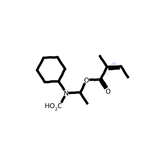 C/C=C(/C)C(=O)OC(C)N(C(=O)O)C1CCCCC1